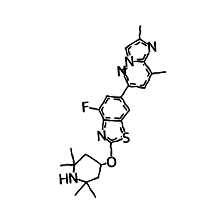 Cc1cn2nc(-c3cc(F)c4nc(OC5CC(C)(C)NC(C)(C)C5)sc4c3)cc(C)c2n1